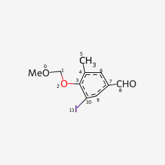 COCOc1c(C)cc(C=O)cc1I